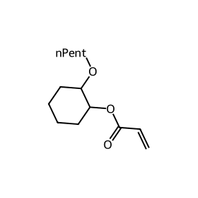 C=CC(=O)OC1CCCCC1OCCCCC